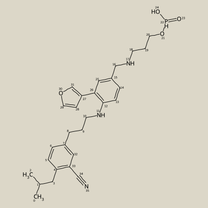 CC(C)Cc1ccc(CCCNc2ccc(CNCCCO[PH](=O)O)cc2-c2ccoc2)cc1C#N